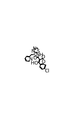 O=C(NC1(SCc2ccccn2)N=NCS1)c1c(O)c2ccc(Cl)cc2oc1=O